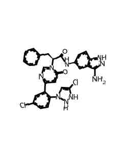 Nc1n[nH]c2ccc(NC(=O)[C@H](Cc3ccccc3)n3cnc(-c4cc(Cl)ccc4N4C=C(Cl)NN4)cc3=O)cc12